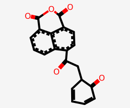 O=C(CC1C=CC=CC1=O)c1ccc2c3c(cccc13)C(=O)OC2=O